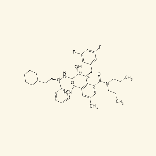 CCCN(CCC)C(=O)c1cc(C)cc(C(N)=O)c1[C@H](Cc1cc(F)cc(F)c1)[C@@H](O)CN[C@H](CCC1CCCCC1)c1ccccc1